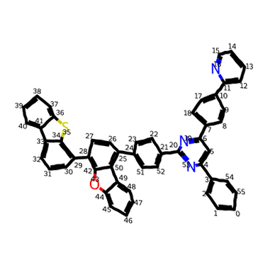 c1ccc(-c2cc(-c3ccc(-c4ccccn4)cc3)nc(-c3ccc(-c4ccc(-c5cccc6c5sc5ccccc56)c5oc6ccccc6c45)cc3)n2)cc1